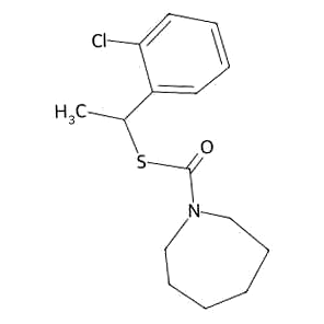 CC(SC(=O)N1CCCCCC1)c1ccccc1Cl